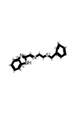 C(=N\CCSCc1ccccc1)/c1nc2ccccc2[nH]1